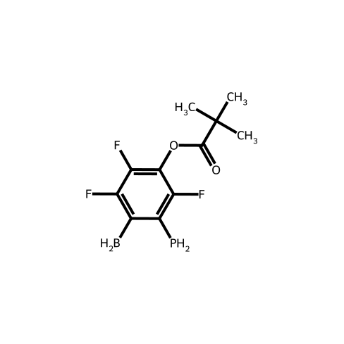 Bc1c(F)c(F)c(OC(=O)C(C)(C)C)c(F)c1P